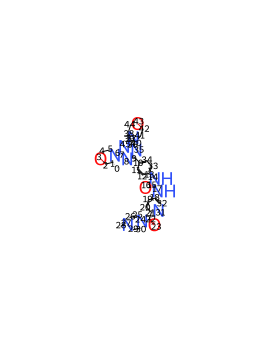 C[C@@H]1COCCN1c1nc(-c2ccc(NC(=O)Nc3ccc(C(=O)N4CCN(C)CC4)nc3)cc2)nc(N2C3CCC2COC3)n1